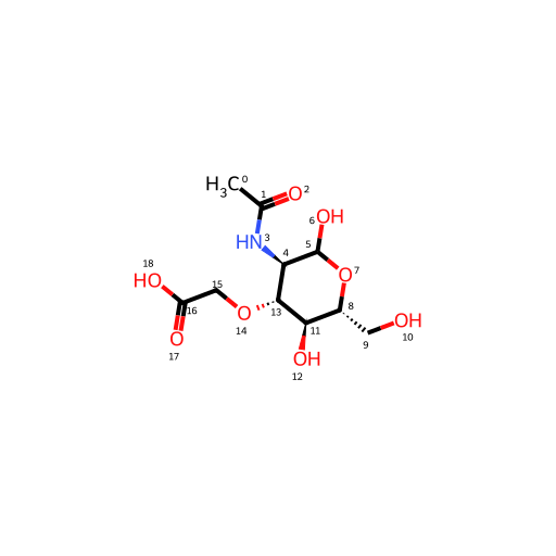 CC(=O)N[C@H]1C(O)O[C@H](CO)[C@@H](O)[C@@H]1OCC(=O)O